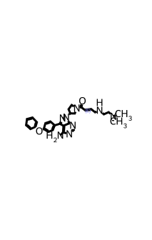 CN(C)CCNC/C=C/C(=O)N1CCC(n2nc(-c3ccc(Oc4ccccc4)cc3)c3c(N)ncnc32)C1